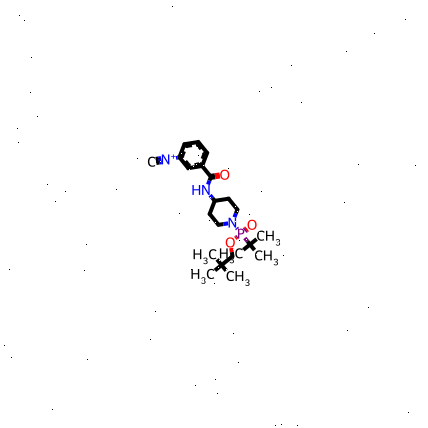 [C-]#[N+]c1cccc(C(=O)NC2CCN(P(=O)(OCC(C)(C)C)C(C)(C)C)CC2)c1